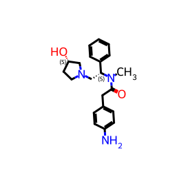 CN(C(=O)Cc1ccc(N)cc1)[C@H](CN1CC[C@H](O)C1)c1ccccc1